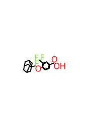 O=C(O)c1ccc(OCC23CC4CC(CC(C4)C2)C3)c(C(F)(F)F)c1